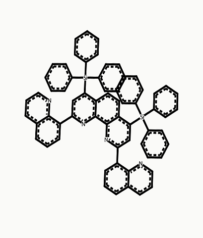 c1ccc([Si](c2ccccc2)(c2ccccc2)c2cc(-c3cccc4cccnc34)nc3c2ccc2c([Si](c4ccccc4)(c4ccccc4)c4ccccc4)cc(-c4cccc5cccnc45)nc23)cc1